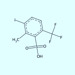 Cc1c(I)ccc(C(F)(F)F)c1S(=O)(=O)O